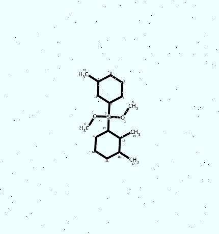 CO[Si](OC)(C1CCCC(C)C1)C1CCCC(C)C1C